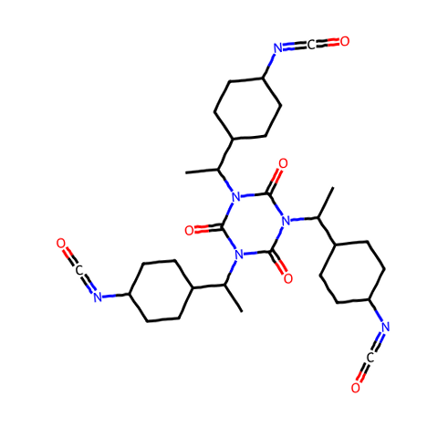 CC(C1CCC(N=C=O)CC1)n1c(=O)n(C(C)C2CCC(N=C=O)CC2)c(=O)n(C(C)C2CCC(N=C=O)CC2)c1=O